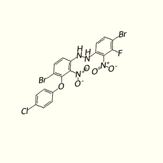 O=[N+]([O-])c1c(NNc2ccc(Br)c(Oc3ccc(Cl)cc3)c2[N+](=O)[O-])ccc(Br)c1F